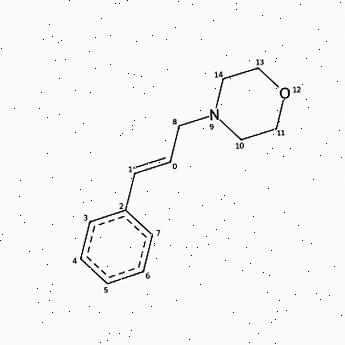 C(=C\c1ccccc1)/CN1CCOCC1